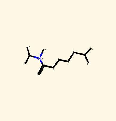 C=C(CCCCC(C)C)N(C)C(C)C